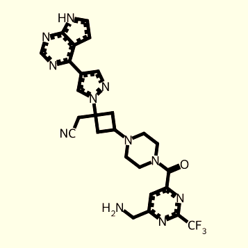 N#CCC1(n2cc(-c3ncnc4[nH]ccc34)cn2)CC(N2CCN(C(=O)c3cc(CN)nc(C(F)(F)F)n3)CC2)C1